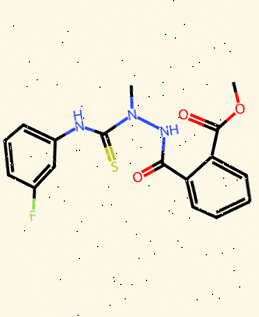 COC(=O)c1ccccc1C(=O)NN(C)C(=S)Nc1cccc(F)c1